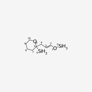 [SiH3]OC=CCC1([SiH3])CCCCO1